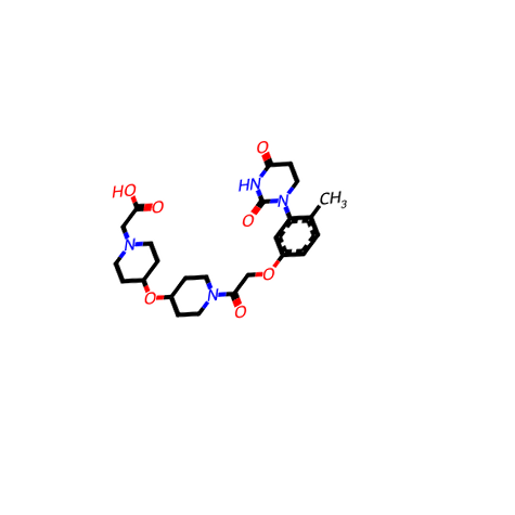 Cc1ccc(OCC(=O)N2CCC(OC3CCN(CC(=O)O)CC3)CC2)cc1N1CCC(=O)NC1=O